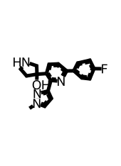 Cn1ccc(-c2nc(-c3ccc(F)cc3)ccc2C2(O)CCNC2)n1